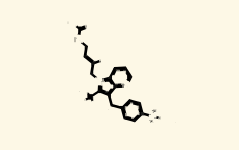 CC(C)(O)c1c(Cc2ccc(S(C)(=O)=O)cc2)c2ncccc2n1C/C(F)=C/CNC(=O)O